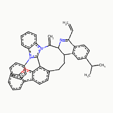 C=CC1=NC2C(=C)[n+]3c(n(-c4ccccc4)c4ccccc43)-c3c(ccc4c3oc3ccccc34)CCC2c2cc(C(C)C)ccc21